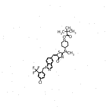 CN(C1=NC(=O)C(=Cc2ccc3c(cnn3Cc3ccc(Cl)cc3C(F)(F)F)c2)S1)C1CCN(OC(=O)C(C)(C)C)CC1